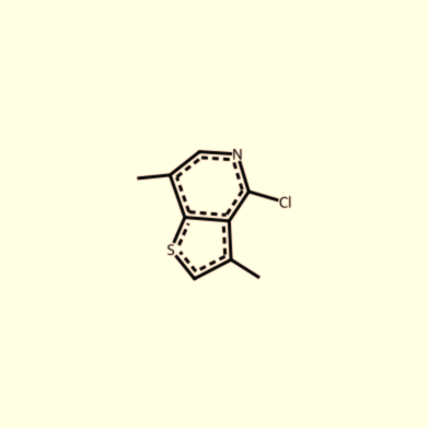 Cc1cnc(Cl)c2c(C)csc12